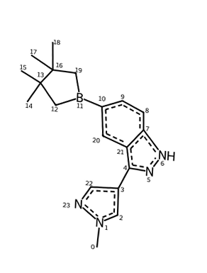 Cn1cc(-c2n[nH]c3ccc(B4CC(C)(C)C(C)(C)C4)cc23)cn1